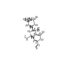 C=CC1=CN(CCC)C(/C(F)=C(\C)N2CC(C)NC(C)C2)=C(C)C1